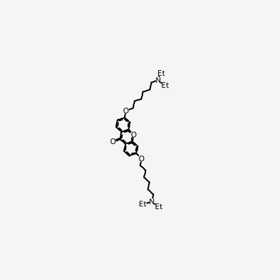 CCN(CC)CCCCCCOc1ccc2c(=O)c3ccc(OCCCCCCN(CC)CC)cc3oc2c1